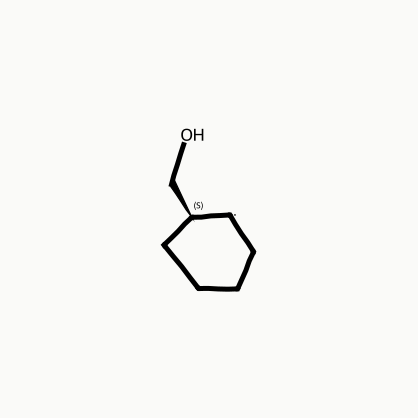 OC[C@H]1[CH]CCCC1